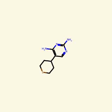 Nc1ncc(C2CCSCC2)c(N)n1